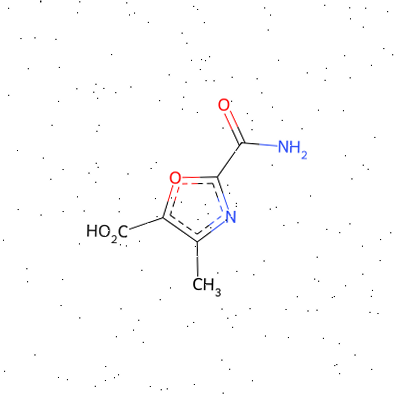 Cc1nc(C(N)=O)oc1C(=O)O